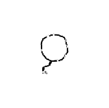 C=CC=C1CCCCCCCCCCCCCCC1